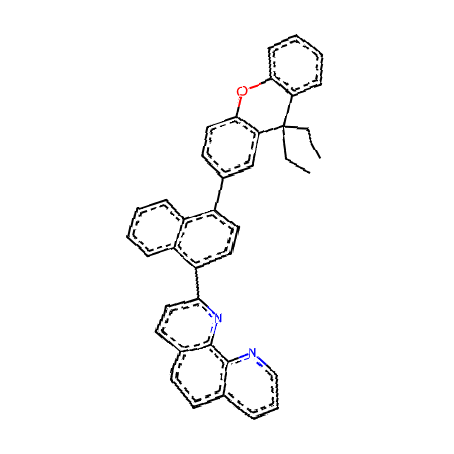 CCC1(CC)c2ccccc2Oc2ccc(-c3ccc(-c4ccc5ccc6cccnc6c5n4)c4ccccc34)cc21